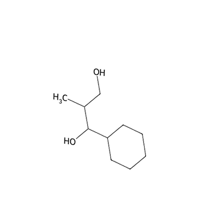 CC(CO)C(O)C1CCCCC1